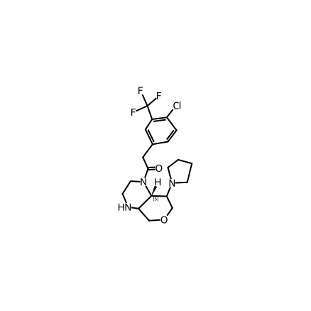 O=C(Cc1ccc(Cl)c(C(F)(F)F)c1)N1CCNC2COCC(N3CCCC3)[C@H]21